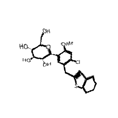 COc1cc(Cl)c(Cc2cc3c(s2)CCCC3)cc1[C@@H]1O[C@H](CO)[C@@H](O)[C@H](O)[C@H]1O